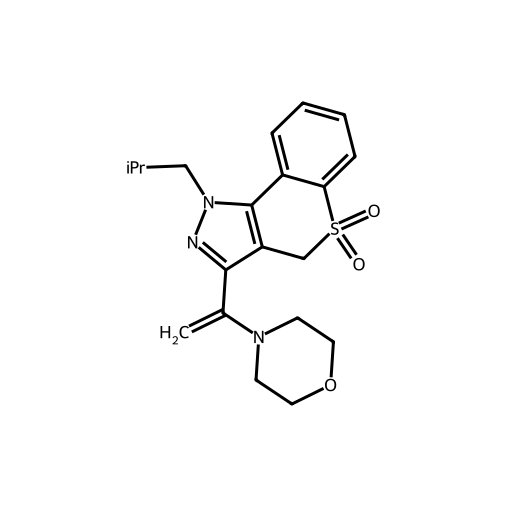 C=C(c1nn(CC(C)C)c2c1CS(=O)(=O)c1ccccc1-2)N1CCOCC1